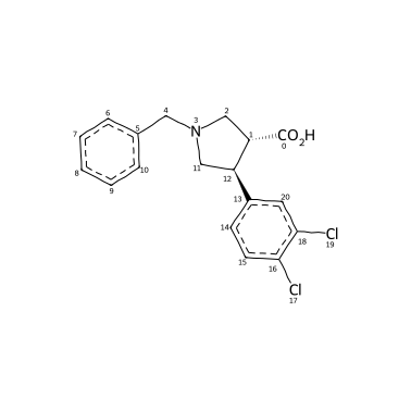 O=C(O)[C@H]1CN(Cc2ccccc2)C[C@@H]1c1ccc(Cl)c(Cl)c1